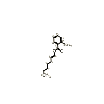 CCCCCC=COC(=O)c1ccccc1N